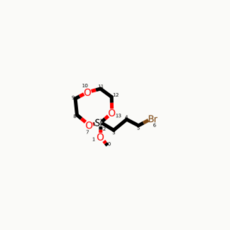 CO[Si]1(CCCBr)OCCOCCO1